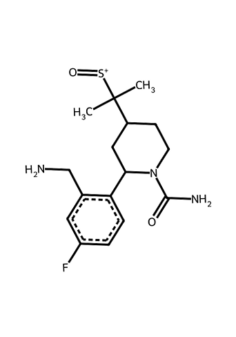 CC(C)([S+]=O)C1CCN(C(N)=O)C(c2ccc(F)cc2CN)C1